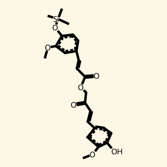 COc1cc(/C=C/C(=O)COC(=O)/C=C/c2ccc(O[Si](C)(C)C)c(OC)c2)ccc1O